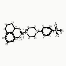 CCS(=O)(=O)c1ccc(N2CCN(C3=NC4CCCc5cccc(c54)N3)CC2)cc1